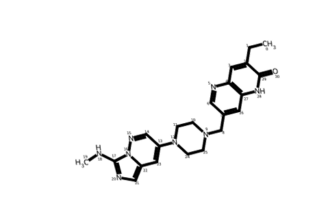 CCc1cc2ncc(CN3CCN(c4cnn5c(NC)ncc5c4)CC3)cc2[nH]c1=O